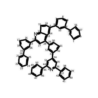 c1ccc(-c2cccc(-c3ccc4nc(-c5cccc(-c6ccccc6)c5)cc(-c5cccc(-c6cc(-c7ccccc7)nc(-c7ccccc7)c6)c5)c4c3)c2)cc1